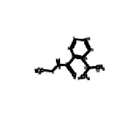 CCNC(=O)c1ccncc1C(C)C